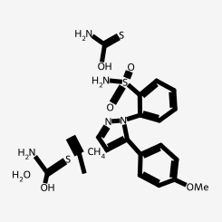 C.C#CC.COc1ccc(-c2ccnn2-c2ccccc2S(N)(=O)=O)cc1.NC(O)=S.NC(O)=S.O